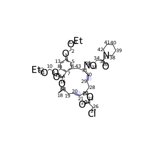 CCOCOc1cc2c(c(OCOCC)c1)C(=O)O[C@H](C)C/C=C/[C@@H](OC(=O)CCl)C/C=C/C(=NOCC(=O)N1CCCCC1)C2